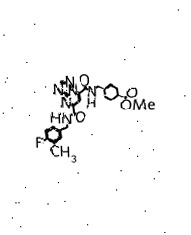 COC(=O)[C@H]1CC[C@@H](CNC(=O)c2cc(C(=O)NCc3ccc(F)c(C)c3)nc3ncnn23)CC1